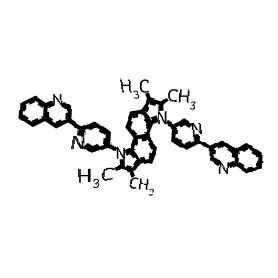 Cc1c(C)n(-c2ccc(-c3cnc4ccccc4c3)nc2)c2c1ccc1c2ccc2c(C)c(C)n(-c3ccc(-c4cnc5ccccc5c4)nc3)c21